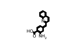 NC1=C(C(=O)O)C=CC(=Cc2ccc3ccccc3n2)C1